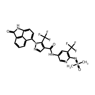 CS(C)(=O)=Nc1ncc(NC(=O)c2cnn(-c3ccc4c5c(cccc35)C(=O)N4)c2C(F)(F)F)cc1C(F)(F)F